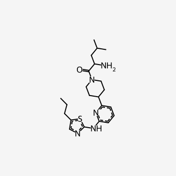 CCCc1cnc(Nc2cccc(C3CCN(C(=O)C(N)CC(C)C)CC3)n2)s1